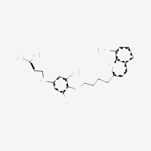 Oc1cccc2ccc(CCCCOc3c(Cl)cc(OCC=C(Cl)Cl)cc3Cl)nc12